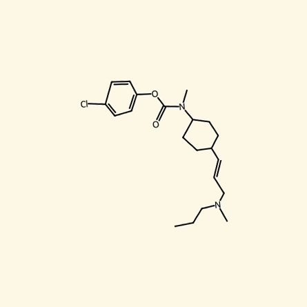 CCCN(C)C/C=C/C1CCC(N(C)C(=O)Oc2ccc(Cl)cc2)CC1